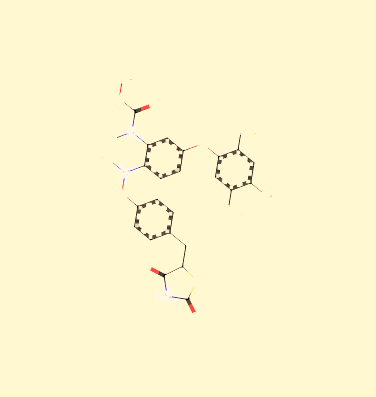 CC(=O)N(Oc1ccc(CC2SC(=O)NC2=O)cc1)c1ccc(Oc2cc(C)c(O)cc2C)cc1N(C)C(=O)OC(C)(C)C